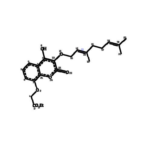 CCOC(=O)COc1cccc2c(O)c(OC/C=C(\C)CCC=C(C)C)c(=O)oc12